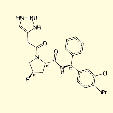 CC(C)c1ccc([C@@H](NC(=O)[C@@H]2C[C@@H](F)CN2C(=O)CC2=CNNN2)c2ccccc2)cc1Cl